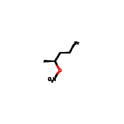 CC(C)CC[C@H](C)O[N+](=O)[O-]